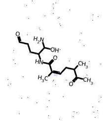 CC(=O)C(C)C/C=C(/C)C(=O)NC(CCC=O)C(N)O